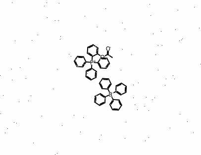 CC(=O)Oc1ccccc1[P+](c1ccccc1)(c1ccccc1)c1ccccc1.c1ccc([B-](c2ccccc2)(c2ccccc2)c2ccccc2)cc1